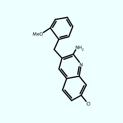 COc1ccccc1Cc1cc2ccc(Cl)cc2nc1N